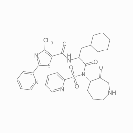 Cc1nc(-c2ccccn2)sc1C(=O)NC(CC1CCCCC1)C(=O)N([C@H]1CCCNCC1=O)S(=O)(=O)c1ccccn1